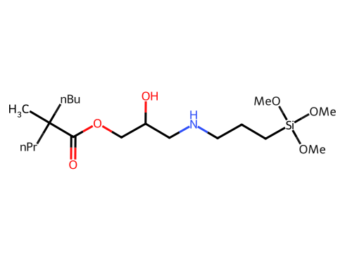 CCCCC(C)(CCC)C(=O)OCC(O)CNCCC[Si](OC)(OC)OC